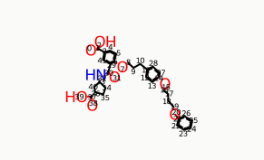 O=C(O)c1ccc(OCCCc2ccc(OCCCCOc3ccccc3)cc2)c(C(=O)NC2CC[C@@H](C(=O)O)C2)c1